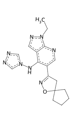 CCn1ncc2c(Nn3cnnc3)c(C3=NOC4(CCCC4)C3)cnc21